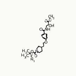 COC(=O)C(O)CNC(=O)c1ccc(OCCC2CCN(C(=O)OC(C)(C)C)CC2)cc1